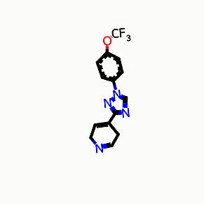 FC(F)(F)Oc1ccc(-n2cnc(C3=CCN=CC3)n2)cc1